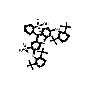 CC(C)(C)c1cccc(C(C)(C)C)c1/N=c1\cc2oc3cc(Nc4c(C(C)(C)C)cccc4C(C)(C)C)ccc3c(-c3ccccc3S(=O)(=O)O)c-2cc1S(=O)(=O)O